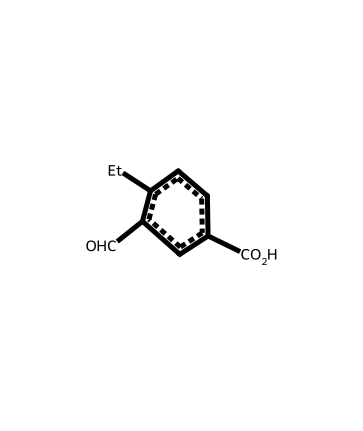 CCc1ccc(C(=O)O)cc1C=O